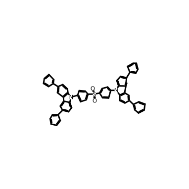 O=S(=O)(c1ccc(-n2c3ccc(-c4ccccc4)cc3c3cc(-c4ccccc4)ccc32)cc1)c1ccc(-n2c3ccc(-c4ccccc4)cc3c3cc(-c4ccccc4)ccc32)cc1